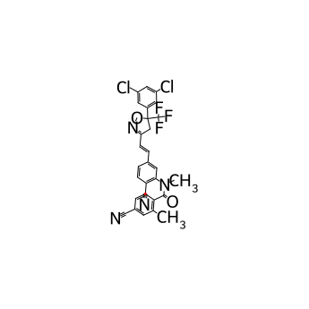 Cc1cc(C#N)ccc1C(=O)N(C)c1cc(/C=C/C2=NOC(c3cc(Cl)cc(Cl)c3)(C(F)(F)F)C2)ccc1C#N